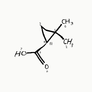 CC1(C)C[C@@H]1C(=O)O